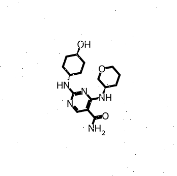 NC(=O)c1cnc(N[C@H]2CC[C@H](O)CC2)nc1N[C@@H]1CCCOC1